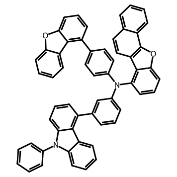 c1ccc(-n2c3ccccc3c3c(-c4cccc(N(c5ccc(-c6cccc7oc8ccccc8c67)cc5)c5cccc6oc7c8ccccc8ccc7c56)c4)cccc32)cc1